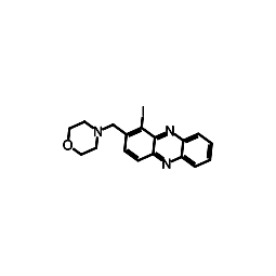 Ic1c(CN2CCOCC2)ccc2nc3ccccc3nc12